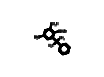 Cc1cc(C(=O)O)c(O)c(C(C)(C)c2ccccc2)c1.[Zn]